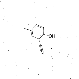 Cc1ccc(O)c(C#N)c1